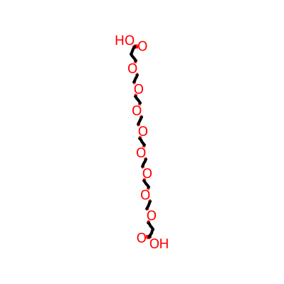 O=C(O)CCOCCOCCOCCOCCOCCOCCOCCOCCC(=O)O